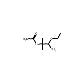 CCOC(N)C(C)(C)OC(N)=O